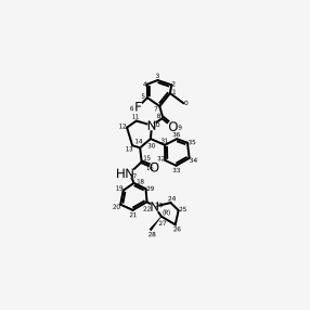 Cc1cccc(F)c1C(=O)N1CCCC(C(=O)Nc2cccc(N3CCC[C@H]3C)c2)C1c1ccccc1